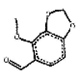 COc1c(C=O)ccc2c1OCO2